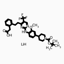 COc1cc(C2CCN(C(=O)OC(C)(C)C)CC2)ccc1Nc1ncc(C(F)(F)F)c(CCc2ccccc2CC(=O)O)n1.[LiH]